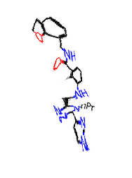 CCCn1c(CNc2cccc(C(=O)NCc3cccc4c3OCC4)c2)nnc1-c1ccncn1